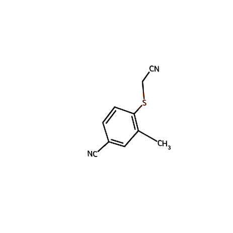 Cc1cc(C#N)ccc1SCC#N